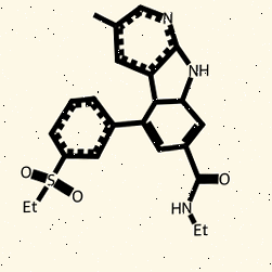 CCNC(=O)C1=CC2Nc3ncc(C)cc3C2C(c2cccc(S(=O)(=O)CC)c2)=C1